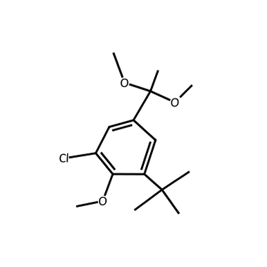 COc1c(Cl)cc(C(C)(OC)OC)cc1C(C)(C)C